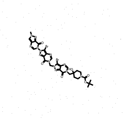 Cn1cc2ncn(-n3nc4c(=O)n(Cn5nc6c(=O)n(CC7(O)CCN(C(=O)OC(C)(C)C)CC7)cnc6c5Br)cnc4c3Br)c(=O)c2n1